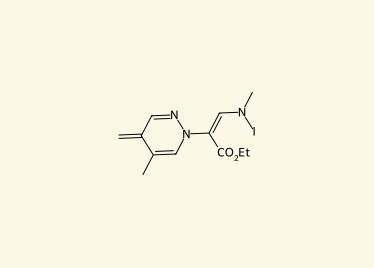 C=C1C=NN(/C(=C/N(C)I)C(=O)OCC)C=C1C